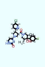 C[C@@H]1CN(C(=O)[C@@H]2CN(c3cc[nH]c(=O)n3)C[C@H]2c2ccc(Cl)cn2)C[C@H](C)[C@]1(O)c1ccc(F)cc1